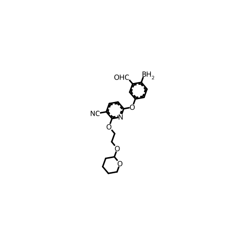 Bc1ccc(Oc2ccc(C#N)c(OCCOC3CCCCO3)n2)cc1C=O